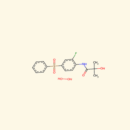 CC(C)(O)C(=O)Nc1ccc(S(=O)(=O)c2ccccc2)cc1F.OO